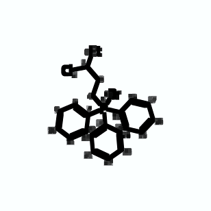 CCC(Cl)CCP(Br)(c1ccccc1)(c1ccccc1)c1ccccc1